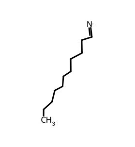 CCCCCCCCCCC=[N]